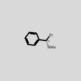 [CH2-][NH2+][C@@H](CC)c1ccccc1